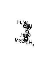 COc1cc(NC(=O)[C@H]2CC[C@@H](n3c(=O)[nH]c4c(C(N)=O)cccc43)CC2)ccc1C